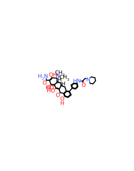 CN(C)C1C(O)=C(C(N)=O)C(=O)[C@]2(O)C(O)=C3C(=O)c4c(O)ccc(-c5ccc(NC(=O)CN6CCCCC6)cc5)c4C[C@H]3C[C@H]12